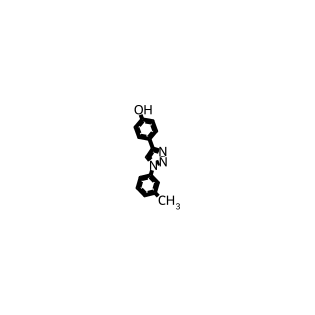 Cc1cccc(-n2cc(-c3ccc(O)cc3)nn2)c1